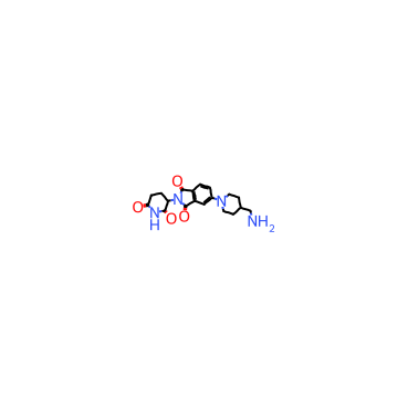 NCC1CCN(c2ccc3c(c2)C(=O)N(C2CCC(=O)NC2=O)C3=O)CC1